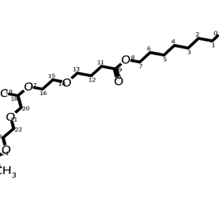 CCCCCCCCOC(=O)CCCOCCOC(C)COCCOCC